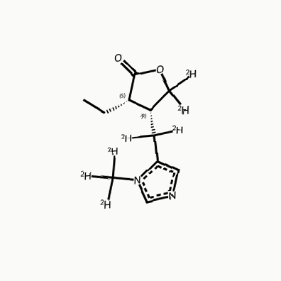 [2H]C1([2H])OC(=O)[C@@H](CC)[C@H]1C([2H])([2H])c1cncn1C([2H])([2H])[2H]